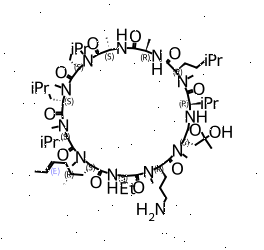 C/C=C/C[C@@H](C)C[C@H]1C(=O)N[C@@H](CC)C(=O)N(C)[C@H](CCCN)C(=O)N(C)[C@@H](CC(C)(C)O)C(=O)N[C@H](C(C)C)C(=O)N(C)[C@H](CCC(C)C)C(=O)N[C@H](C)C(=O)N[C@@H](C)C(=O)N(C)[C@@H](CC(C)C)C(=O)N(C)[C@@H](CC(C)C)C(=O)N(C)[C@@H](C(C)C)C(=O)N1C